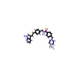 CN1CCN(Cc2ccc(C(=O)NCc3ccc(CCC4CNc5ncccc54)cc3)cc2)CC1